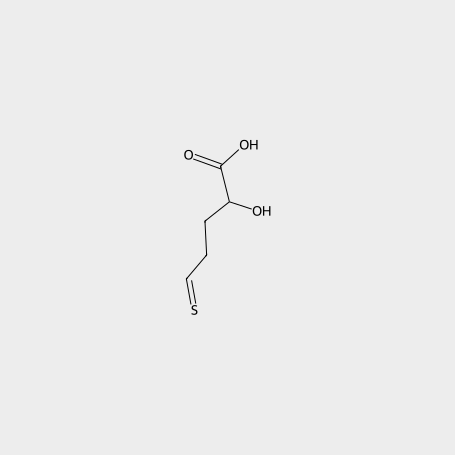 O=C(O)C(O)CCC=S